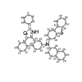 c1ccc(C2Nc3c(c4ccccc4c4ccc(N(c5ccc6ccccc6c5)c5ccc6c(c5)sc5ccccc56)cc34)O2)cc1